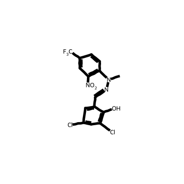 CN(/N=C/c1cc(Cl)cc(Cl)c1O)c1ccc(C(F)(F)F)cc1[N+](=O)[O-]